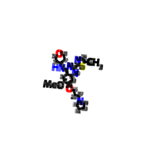 COc1cc2c(NC3CCOCC3)nc(-c3ncc(C)s3)nc2cc1OCCCN1CCCC1